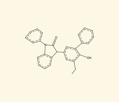 CCc1cc(C2C(=O)N(c3ccccc3)c3ccccc32)cc(-c2ccccc2)c1O